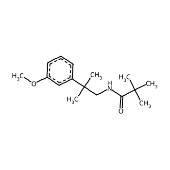 COc1cccc(C(C)(C)CNC(=O)C(C)(C)C)c1